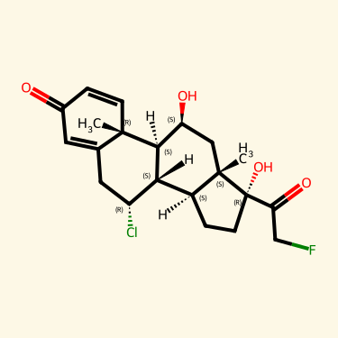 C[C@]12C=CC(=O)C=C1C[C@@H](Cl)[C@@H]1[C@@H]2[C@@H](O)C[C@@]2(C)[C@H]1CC[C@]2(O)C(=O)CF